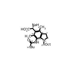 CCCCCCCCN1CCc2c(C)c(CC(=O)O)c(C)c(NC(=O)C(C)(C)C)c21.[NaH]